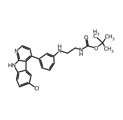 CC(C)(C)OC(=O)NCCNc1cccc(-c2ccnc3[nH]c4ccc(Cl)cc4c23)c1